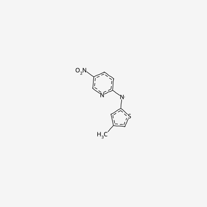 Cc1csc([N]c2ccc([N+](=O)[O-])cn2)c1